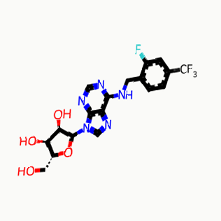 OC[C@H]1OC(n2cnc3c(NCc4ccc(C(F)(F)F)cc4F)ncnc32)[C@H](O)[C@@H]1O